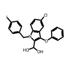 OC(O)c1c(Oc2ccccc2)c2cc(Cl)ccc2n1Cc1ccc(I)cc1